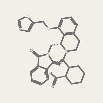 CNC(=O)[C@@H]1CCCCC1C(=O)N1CCc2cccc(OCc3cnco3)c2[C@H]1CN1C(=O)c2ccccc2C1=O